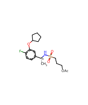 CC(=O)OCCCS(=O)(=O)N[C@H](C)c1ccc(F)c(OC2CCCC2)c1